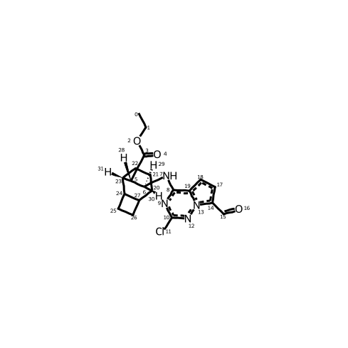 CCOC(=O)[C@@H]1[C@@H](Nc2nc(Cl)nn3c(C=O)ccc23)[C@@H]2CC[C@H]1C1CCC12